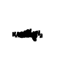 COC(=O)CC1(C(=O)Nc2ccc(-c3ccccc3S(N)(=O)=O)cc2C)CC(c2cccc(C(=N)N)c2)=NO1